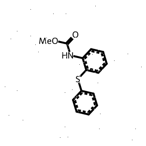 COC(=O)Nc1ccccc1Sc1ccccc1